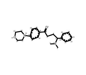 CN(C)C(CCC(=O)c1ccc(N2CCOCC2)cc1)c1ccccc1